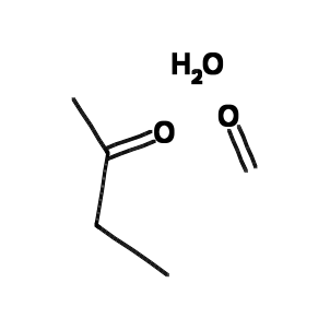 C=O.CCC(C)=O.O